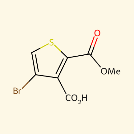 COC(=O)c1scc(Br)c1C(=O)O